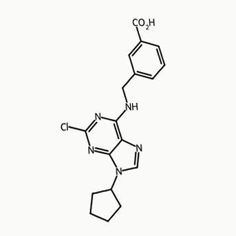 O=C(O)c1cccc(CNc2nc(Cl)nc3c2ncn3C2CCCC2)c1